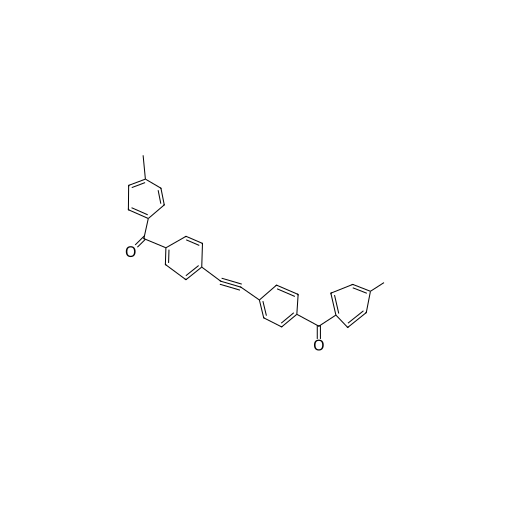 Cc1ccc(C(=O)c2ccc(C#Cc3ccc(C(=O)c4ccc(C)cc4)cc3)cc2)cc1